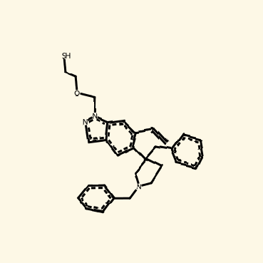 C=Cc1cc2c(cnn2COCCS)cc1C1(Cc2ccccc2)CCN(Cc2ccccc2)C1